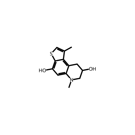 Cc1csc2c(O)cc3c(c12)CC(O)CN3C